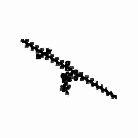 CCCCCCCCCCCCCCCC(=O)O[C@H](COC(=O)CCCCCCCC(Br)C(Br)CCCCCCCC)COP(=O)([O-])OCC[N+](C)(C)C